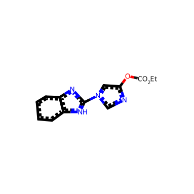 CCOC(=O)Oc1cn(-c2nc3ccccc3[nH]2)cn1